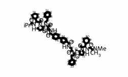 CN[C@@H](C)C(=O)N[C@H](C(=O)N1CC[C@H](O)[C@H]1CN(CCc1ccccc1)C(=O)CNC(=O)c1ccc(-c2ccc(C(=O)NCC(=O)N(CCc3ccccc3)C3[C@@H](O)CCN3C(=O)[C@@H](NC(=O)C(C)C)C3CCCCC3)cc2)cc1)C1CCCCC1